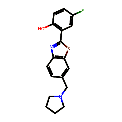 Oc1ccc(F)cc1-c1nc2ccc(CN3CCCC3)cc2s1